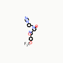 CN1CCN(c2cccc(Cn3cc(-c4cc(-c5ccc(OC(F)(F)F)cc5)on4)ccc3=O)c2)CC1